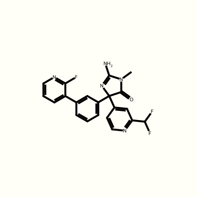 CN1C(=O)C(c2cccc(-c3cccnc3F)c2)(c2ccnc(C(F)F)c2)N=C1N